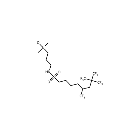 C[N+](C)([O-])CCCNS(=O)(=O)CCCCC(CC(C(F)(F)F)(C(F)(F)F)C(F)(F)F)C(F)(F)F